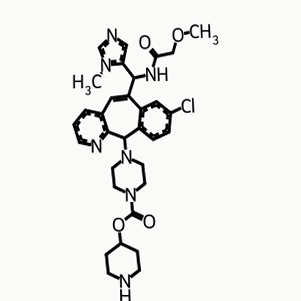 COCC(=O)NC(C1=Cc2cccnc2C(N2CCN(C(=O)OC3CCNCC3)CC2)c2ccc(Cl)cc21)c1cncn1C